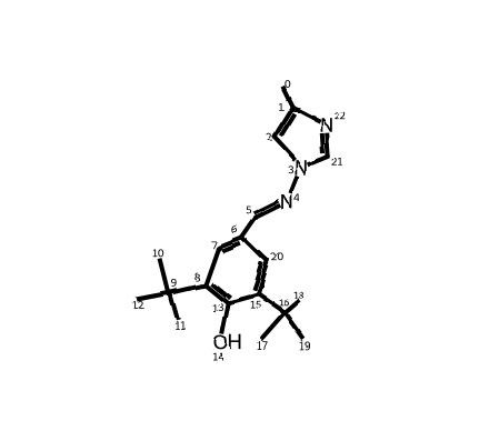 Cc1cn(N=Cc2cc(C(C)(C)C)c(O)c(C(C)(C)C)c2)cn1